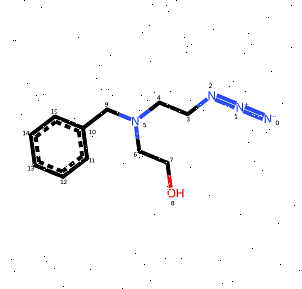 [N-]=[N+]=NCCN(CCO)Cc1ccccc1